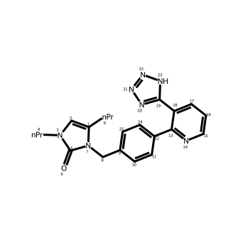 CCCc1cn(CCC)c(=O)n1Cc1ccc(-c2ncccc2-c2nnn[nH]2)cc1